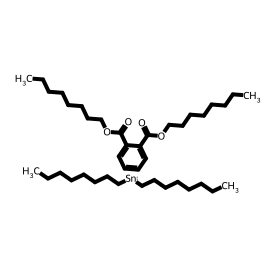 CCCCCCCCOC(=O)c1ccccc1C(=O)OCCCCCCCC.CCCCCCC[CH2][Sn][CH2]CCCCCCC